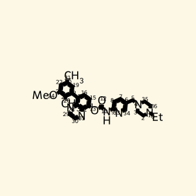 CCN1CCN(Cc2ccc(NC(=O)Oc3ccc(-c4cc(C)cc(OC)c4C)c4nccnc34)nc2)CC1